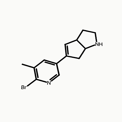 Cc1cc(C2=CC3CCNC3C2)cnc1Br